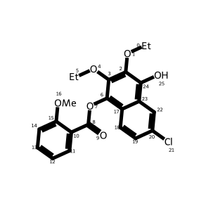 CCOc1c(OCC)c(OC(=O)c2ccccc2OC)c2ccc(Cl)cc2c1O